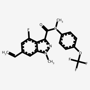 C=Cc1cc(F)c2c(C(=O)N(C)c3ccc(OC(F)(F)F)cc3)nn(C)c2c1